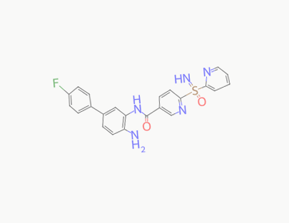 N=S(=O)(c1ccccn1)c1ccc(C(=O)Nc2cc(-c3ccc(F)cc3)ccc2N)cn1